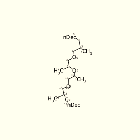 CCCCCCCCCCCC(C)COCC(C)OC(C)COCC(C)CCCCCCCCCCC